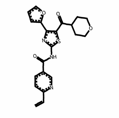 C=Cc1ccc(C(=O)Nc2nc(-c3ccco3)c(C(=O)C3CCOCC3)s2)cn1